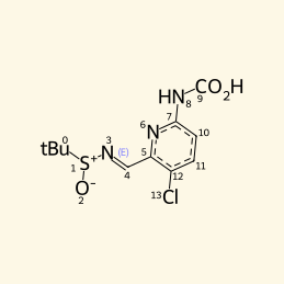 CC(C)(C)[S+]([O-])/N=C/c1nc(NC(=O)O)ccc1Cl